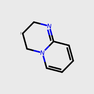 [C]1CN=C2C=CC=CN2C1